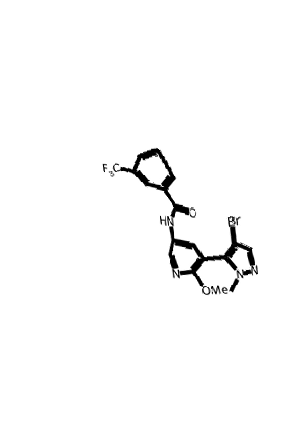 COc1ncc(NC(=O)c2cccc(C(F)(F)F)c2)cc1-c1c(Br)cnn1C